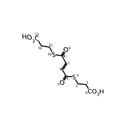 O=C(O)CCSC(=O)/C=C/C(=O)SCCC(=O)O